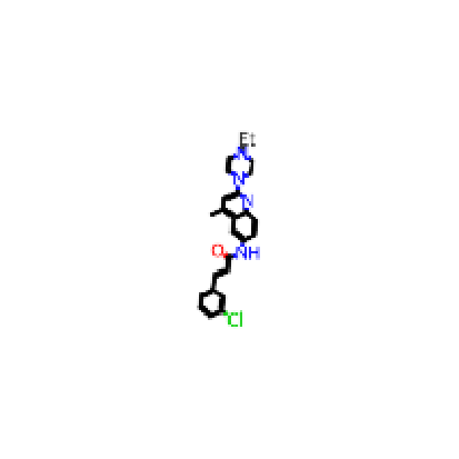 CCN1CCN(c2cc(C)c3cc(NC(=O)C=Cc4cccc(Cl)c4)ccc3n2)CC1